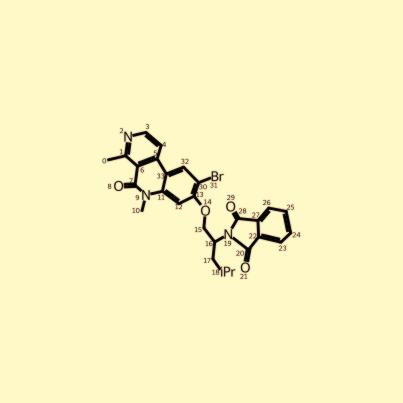 Cc1nccc2c1c(=O)n(C)c1cc(OCC(CC(C)C)N3C(=O)c4ccccc4C3=O)c(Br)cc21